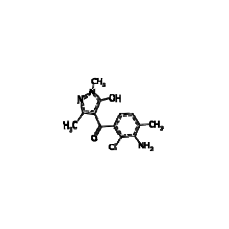 Cc1ccc(C(=O)c2c(C)nn(C)c2O)c(Cl)c1N